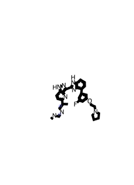 C=N/C=N\C=C(/C)c1ccc2[nH]nc(-c3nc4c(-c5cc(F)cc(OCCN6CCCC6)c5)cccc4[nH]3)c2n1